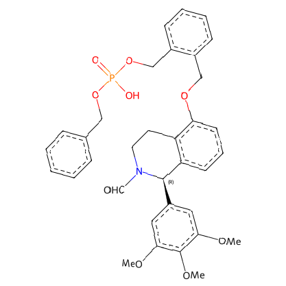 COc1cc([C@@H]2c3cccc(OCc4ccccc4COP(=O)(O)OCc4ccccc4)c3CCN2C=O)cc(OC)c1OC